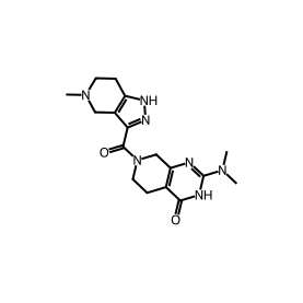 CN1CCc2[nH]nc(C(=O)N3CCc4c(nc(N(C)C)[nH]c4=O)C3)c2C1